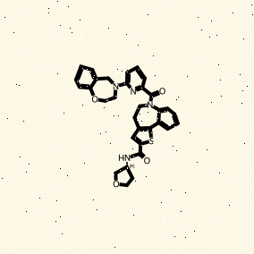 O=C(N[C@@H]1CCOC1)c1cc2c(s1)-c1ccccc1N(C(=O)c1cccc(N3CCOc4ccccc4C3)n1)CC2